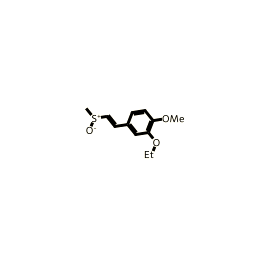 CCOc1cc(/C=C/[S+](C)[O-])ccc1OC